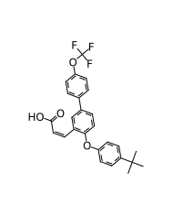 CC(C)(C)c1ccc(Oc2ccc(-c3ccc(OC(F)(F)F)cc3)cc2/C=C\C(=O)O)cc1